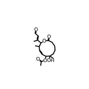 CC(=O)OC1C=CC(C)C(/C(C)=C/C=O)OC(=O)CCCCC1(C)O